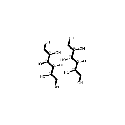 OC[C@@H](O)[C@@H](O)[C@H](O)[C@H](O)CO.OC[C@@H](O)[C@H](O)[C@H](O)[C@H](O)CO